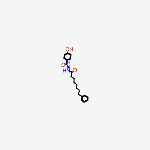 O=C(CCCCCCCc1ccccc1)NNC(=O)c1ccc(O)cc1